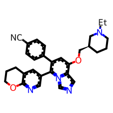 CCN1CCC[C@@H](COc2cc(-c3ccc(C#N)cc3)c(-c3cnc4c(c3)CCCO4)n3cncc23)C1